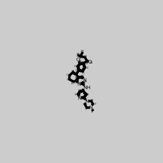 CN1CCN(c2cc(Nc3ncc4c(n3)CCCC=C4c3ccc4c(c3)OC(C)(C)CC4=O)ccn2)CC1